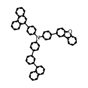 c1cc(-c2ccc(N(c3ccc(-c4ccc5oc6ccccc6c5c4)cc3)c3ccc(-c4cc5ccccc5c5ccccc45)cc3)cc2)cc(-c2cccc3ccccc23)c1